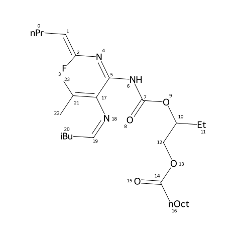 CCC/C=C(F)/N=C(/NC(=O)OC(CC)COC(=O)CCCCCCCC)C(/N=C\C(C)CC)=C(C)C